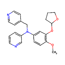 COc1ccc(N(Cc2ccncc2)c2cccnc2)cc1OC1CCCO1